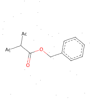 CC(=O)C(C(C)=O)C(=O)OCc1ccccc1